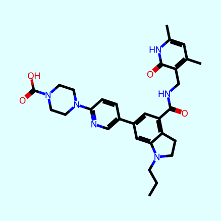 CCCN1CCc2c(C(=O)NCc3c(C)cc(C)[nH]c3=O)cc(-c3ccc(N4CCN(C(=O)O)CC4)nc3)cc21